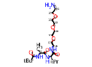 CC(C)[C@@H](NC(=O)[C@@H](C)NC(=O)C(C)(C)C)C(=O)NCCOCCOCCOCCN